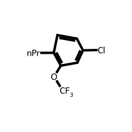 CCCc1ccc(Cl)cc1OC(F)(F)F